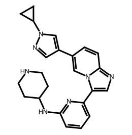 c1cc(NC2CCNCC2)nc(-c2cnc3ccc(-c4cnn(C5CC5)c4)cn23)c1